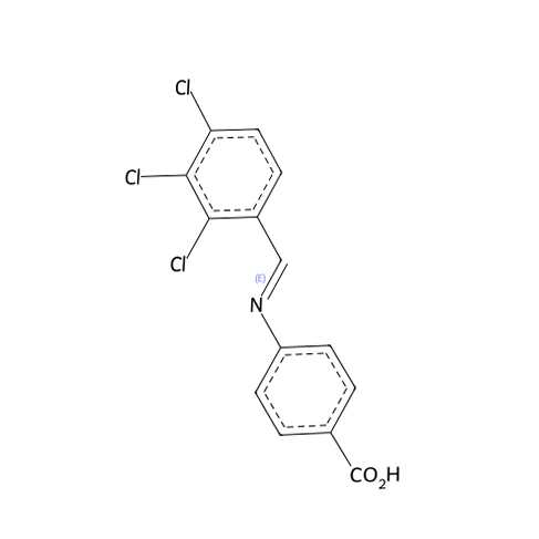 O=C(O)c1ccc(/N=C/c2ccc(Cl)c(Cl)c2Cl)cc1